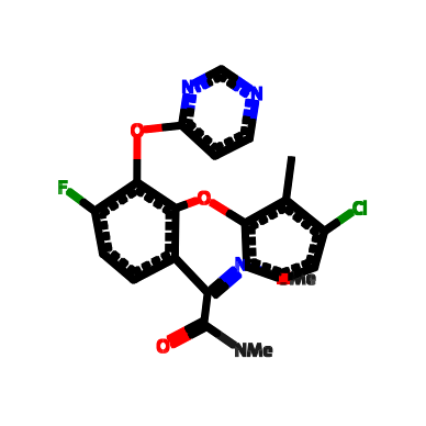 CNC(=O)C(=NOC)c1ccc(F)c(Oc2ccncn2)c1Oc1cccc(Cl)c1C